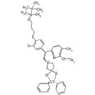 COc1nc(C(=C[C@H]2CCC3(C2)O[C@H](c2ccccc2)[C@@H](c2ccccc2)O3)c2ccc(SCCCO[Si](C)(C)C(C)(C)C)c(Cl)c2)ccc1C